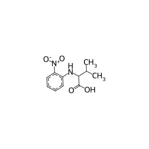 CC(C)C(Nc1ccccc1[N+](=O)[O-])C(=O)O